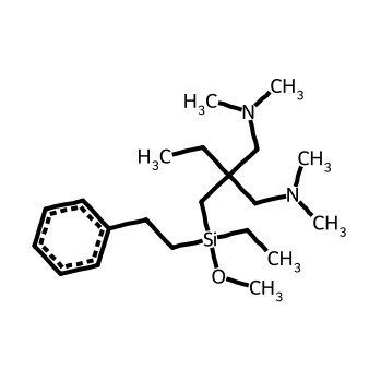 CCC(CN(C)C)(CN(C)C)C[Si](CC)(CCc1ccccc1)OC